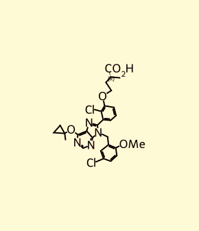 COc1ccc(Cl)cc1Cn1c(-c2cccc(OCC[C@@H](C)C(=O)O)c2Cl)nc2c(OC3(C)CC3)ncnc21